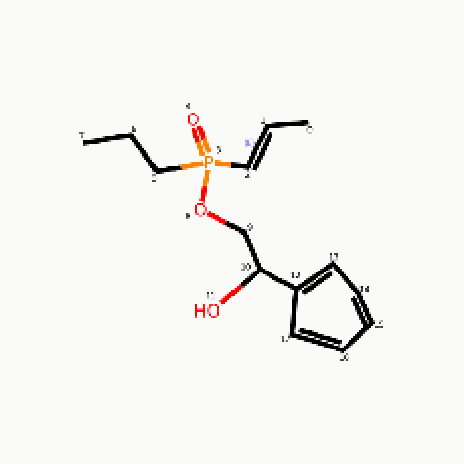 C/C=C/P(=O)(CCC)OCC(O)c1ccccc1